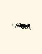 C=C(COc1ccccc1)N1CCC(CC2=CC(=N)NC(CCCC)C(=O)C2)CC1